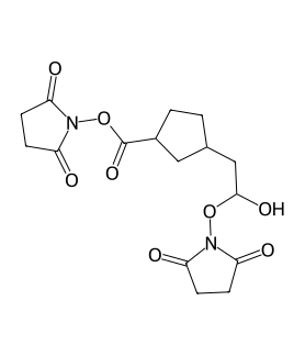 O=C(ON1C(=O)CCC1=O)C1CCC(CC(O)ON2C(=O)CCC2=O)C1